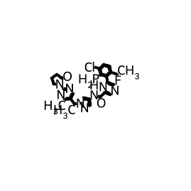 Cc1nc(N2CCCC2=O)ncc1[C@H](C)n1cc(NC(=O)c2cncc(-c3c(C(C)F)ccc(Cl)c3P)n2)cn1